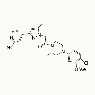 COc1cc(N2CCN(C(=O)Cn3nc(-c4ccnc(C#N)c4)cc3C)C(C)C2)ccc1Cl